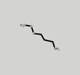 COSCCC[SiH3]